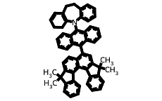 CC1(C)c2ccccc2-c2c1ccc1c(-c3c4ccccc4c(N4C5=C(C=CCC5)CCc5ccccc54)c4ccccc34)cc3c(c21)-c1ccccc1C3(C)C